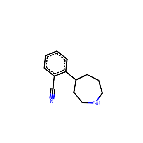 N#Cc1ccccc1C1CCCNCC1